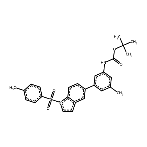 Cc1ccc(S(=O)(=O)n2ccc3cc(-c4cc(C)cc(NC(=O)OC(C)(C)C)c4)ccc32)cc1